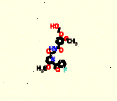 COc1cc(C(=O)NCC(=O)c2ccc(OC)c(-c3coc4c(F)cccc34)n2)ccc1OCCO